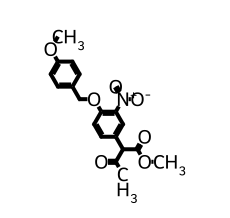 COC(=O)C(C(C)=O)c1ccc(OCc2ccc(OC)cc2)c([N+](=O)[O-])c1